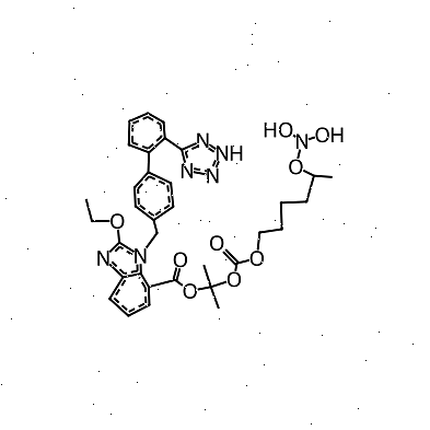 CCOc1nc2cccc(C(=O)OC(C)(C)OC(=O)OCCCCC(C)ON(O)O)c2n1Cc1ccc(-c2ccccc2-c2nn[nH]n2)cc1